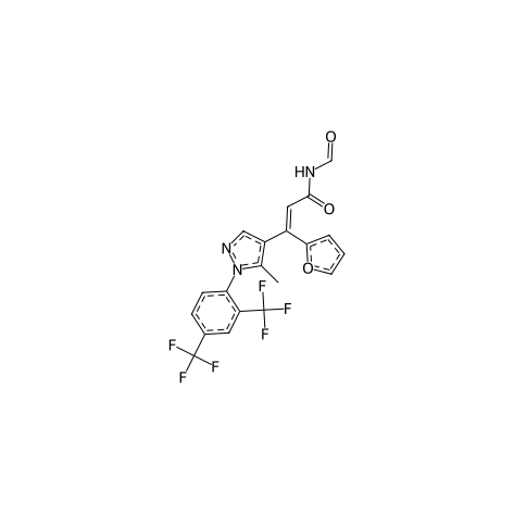 Cc1c(C(=CC(=O)NC=O)c2ccco2)cnn1-c1ccc(C(F)(F)F)cc1C(F)(F)F